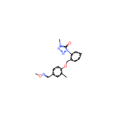 CON=Cc1ccc(OCc2ccccc2-n2nnn(C)c2=O)c(C)c1